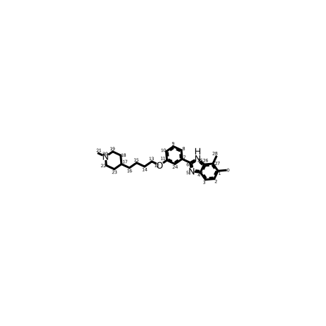 Cc1ccc2nc(-c3cccc(OCCCCC4CCN(C)CC4)c3)[nH]c2c1C